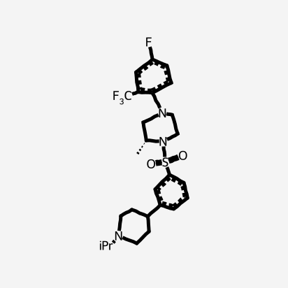 CC(C)N1CCC(c2cccc(S(=O)(=O)N3CCN(c4ccc(F)cc4C(F)(F)F)C[C@H]3C)c2)CC1